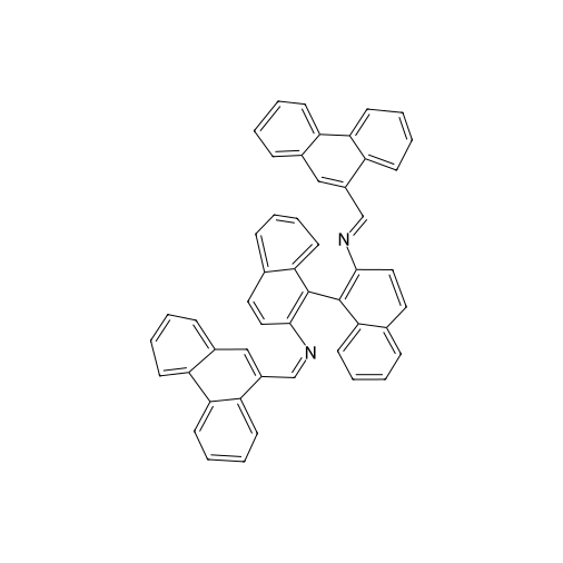 C(=N/c1ccc2ccccc2c1-c1c(/N=C/c2cc3ccccc3c3ccccc23)ccc2ccccc12)/c1cc2ccccc2c2ccccc12